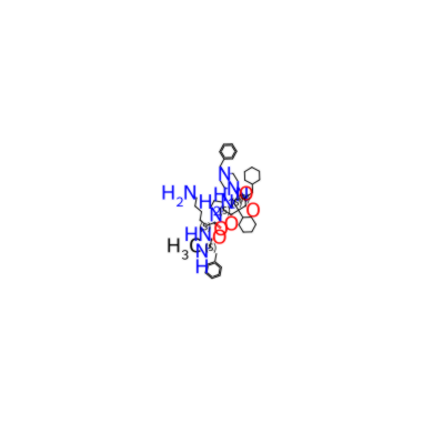 CN[C@@H](Cc1ccccc1)C(=O)N[C@@H](CCCCN)C(=O)N1CCC[C@H]1C(=O)C(C(=O)[C@H](N)CC1CCCCC1)(C1CCCCC1)[C@H](N)C(=O)N1CCN(Cc2ccccc2)CC1